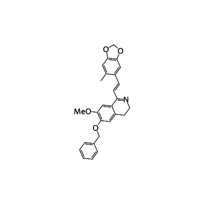 COc1cc2c(cc1OCc1ccccc1)CCN=C2/C=C/c1cc2c(cc1C)OCO2